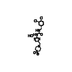 Cl.O=C(NCc1ccc(Cl)c(Cl)c1)Nc1nc(CN2CCS(=O)(=O)CC2)cs1